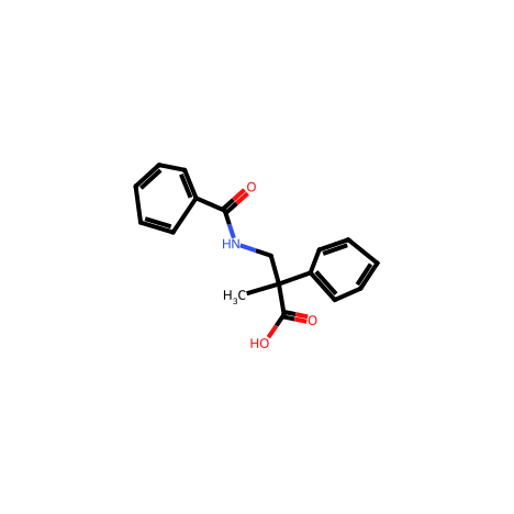 CC(CNC(=O)c1ccccc1)(C(=O)O)c1ccccc1